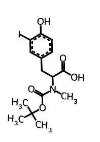 CN(C(=O)OC(C)(C)C)C(Cc1ccc(O)c(I)c1)C(=O)O